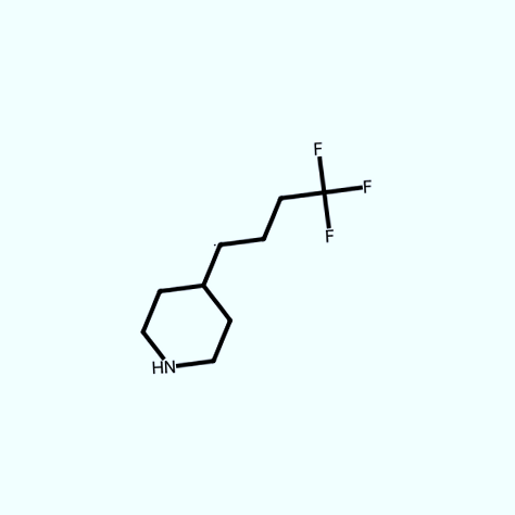 FC(F)(F)CC[CH]C1CCNCC1